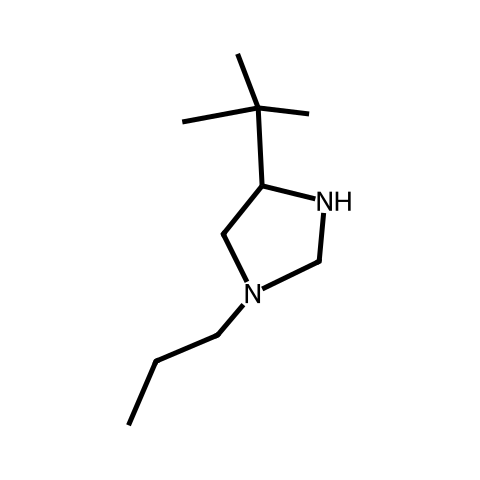 CCCN1CNC(C(C)(C)C)C1